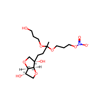 CC(CC[C@]1(O)CO[C@@H]2[C@@H](O)CO[C@@H]21)(OCCCO)OCCCO[N+](=O)[O-]